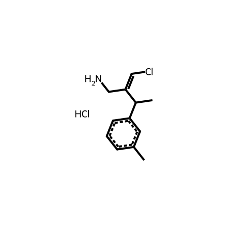 Cc1cccc(C(C)/C(=C\Cl)CN)c1.Cl